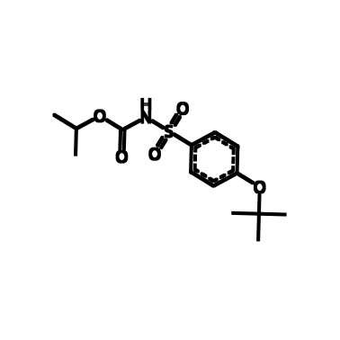 CC(C)OC(=O)NS(=O)(=O)c1ccc(OC(C)(C)C)cc1